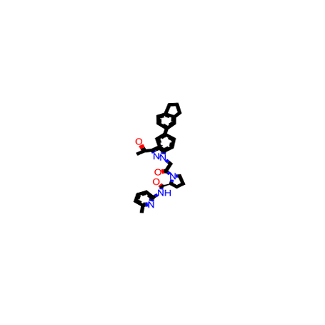 CC(=O)c1nn(CC(=O)N2CCC[C@H]2C(=O)Nc2cccc(C)n2)c2ccc(-c3ccc4c(c3)CCC4)cc12